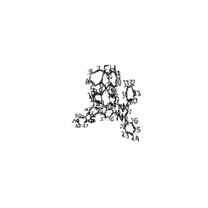 CC12C=CC=CC1C1(c3ccccc3C3(c4cc(-c5nc(-c6ccccc6)cc(-c6ccccc6)n5)ccc4-c4c3ccc3c4sc4ccccc43)c3ccccc31)c1ccccc12